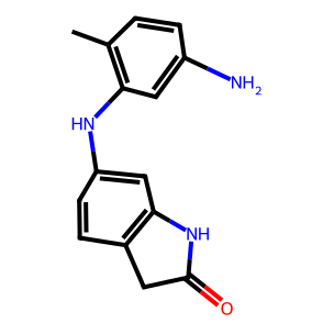 Cc1ccc(N)cc1Nc1ccc2c(c1)NC(=O)C2